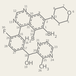 Bc1c(N2CCOCC2)cc2ncnc(-c3cc(C(O)c4nccnc4C)ccc3F)c2c1B